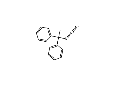 CC(N=[N+]=[N-])(c1ccccc1)c1ccccc1